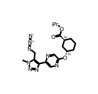 CC(C)OC(=O)[C@H]1CCC[C@H](Oc2cnc(-c3nnn(C)c3CN=[N+]=[N-])cn2)C1